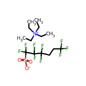 CC[N+](CC)(CC)CC.O=S(=O)([O-])C(F)(F)C(F)(F)C(F)(F)CCC(F)(F)F